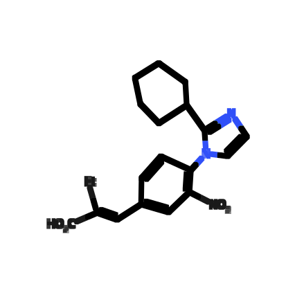 CC/C(=C\c1ccc(-n2ccnc2C2CCCCC2)c([N+](=O)[O-])c1)C(=O)O